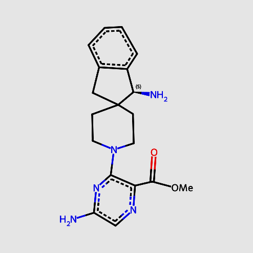 COC(=O)c1ncc(N)nc1N1CCC2(CC1)Cc1ccccc1[C@H]2N